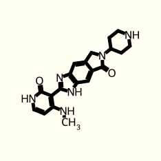 CNc1cc[nH]c(=O)c1-c1nc2cc3c(cc2[nH]1)C(=O)N(C1CCNCC1)C3